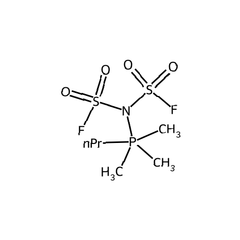 CCCP(C)(C)(C)N(S(=O)(=O)F)S(=O)(=O)F